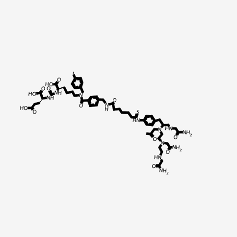 CC(=O)CN(CCN(CCNCC(N)=O)CC(N)=O)C(CNCC(N)=O)Cc1ccc(NC(=S)CCCCCC(=O)NCc2ccc(C(=O)N(CCCC[C@@H](NC(=O)N[C@H](CCC(=O)O)C(=O)O)C(=O)O)Cc3ccc(I)cc3)cc2)cc1